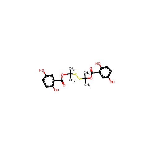 CC(C)(OC(=O)c1cc(O)ccc1O)SSC(C)(C)OC(=O)c1cc(O)ccc1O